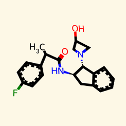 CC(C(=O)N[C@@H]1Cc2ccccc2[C@H]1N1CC(O)C1)c1ccc(F)cc1